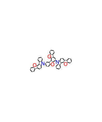 c1ccc2c(c1)oc1c2cc(-n2c3ccccc3c3c4oc5ccccc5c4ccc32)c2oc3ccc(-n4c5ccccc5c5c6oc7ccccc7c6ccc54)cc3c21